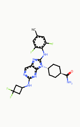 N#Cc1cc(F)c(Nc2nc3cnc(NC4CC(F)(F)C4)nc3n2[C@H]2CC[C@H](C(N)=O)CC2)c(F)c1